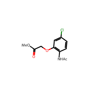 COC(=O)COc1cc(Cl)ccc1NC(C)=O